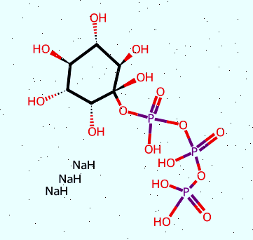 O=P(O)(O)OP(=O)(O)OP(=O)(O)O[C@]1(O)[C@H](O)[C@H](O)[C@@H](O)[C@H](O)[C@H]1O.[NaH].[NaH].[NaH]